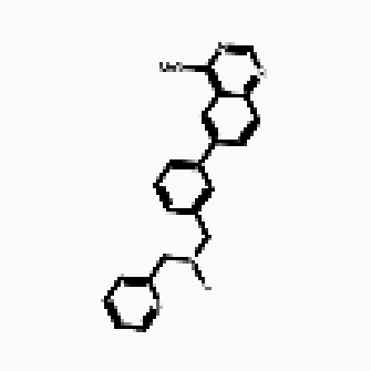 CNc1ncnc2ccc(-c3cccc(CN(Cc4ccccn4)C(C)=O)c3)cc12